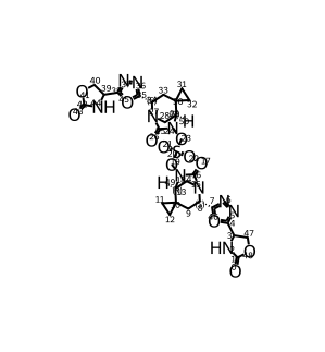 O=C1NC(c2nnc([C@@H]3CC4(CC4)[C@@H]4CN3C(=O)N4OS(=O)(=O)ON3C(=O)N4C[C@H]3C3(CC3)C[C@H]4c3nnc(C4COC(=O)N4)o3)o2)CO1